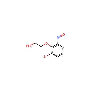 O=Nc1cccc(Br)c1OCCO